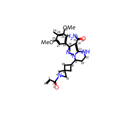 C=CC(=O)N1CC2(CC(C3CCNc4c(C(N)=O)c(-c5cc(OC)c(C)c(OC)c5)nn43)C2)C1